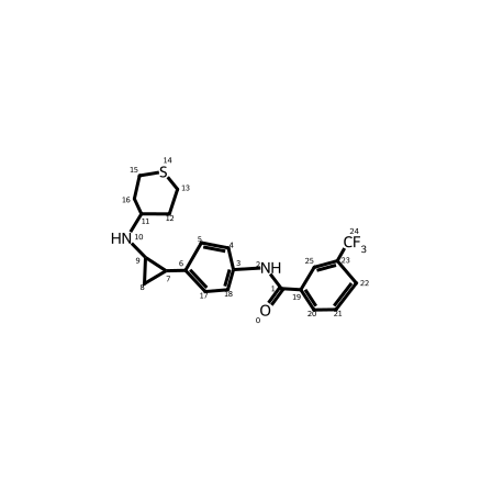 O=C(Nc1ccc(C2CC2NC2CCSCC2)cc1)c1cccc(C(F)(F)F)c1